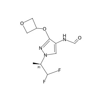 C[C@H](C(F)F)n1cc(NC=O)c(OC2COC2)n1